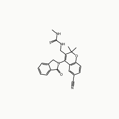 CNC(=S)NCC1=C(N2Cc3ccccc3C2=O)c2cc(C#N)ccc2OC1(C)C